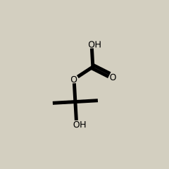 CC(C)(O)OC(=O)O